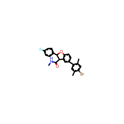 CNC(=O)C1c2cc(-c3cc(C)c(Br)cc3C)ccc2OC1c1ccc(F)cc1